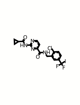 O=C(NCc1cc(C(F)(F)I)ccc1Cl)c1ccnc(NC(=O)C2CC2)n1